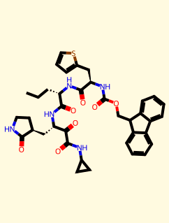 CCC[C@H](NC(=O)[C@@H](Cc1cccs1)NC(=O)OCC1c2ccccc2-c2ccccc21)C(=O)N[C@@H](C[C@@H]1CCNC1=O)C(=O)C(=O)NC1CC1